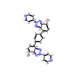 Brc1ccc(-c2ccc(-c3ccc(Br)c4nn(-c5ccncc5)nc34)cc2)c2nn(-c3ccncc3)nc12